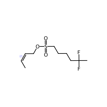 C/C=C\COS(=O)(=O)CCCCC(C)(F)F